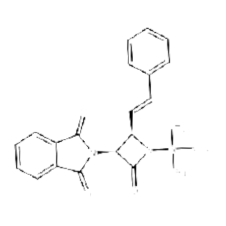 CC(C)(C)[Si](C)(C)N1C(=O)[C@@H](N2C(=O)c3ccccc3C2=O)[C@H]1C=Cc1ccccc1